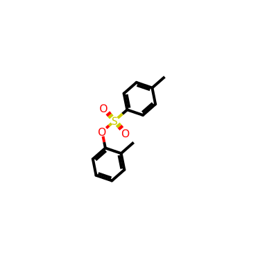 Cc1ccc(S(=O)(=O)Oc2ccccc2C)cc1